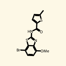 COc1ccc(Br)c2sc(NC(=O)c3ccc(C)s3)nc12